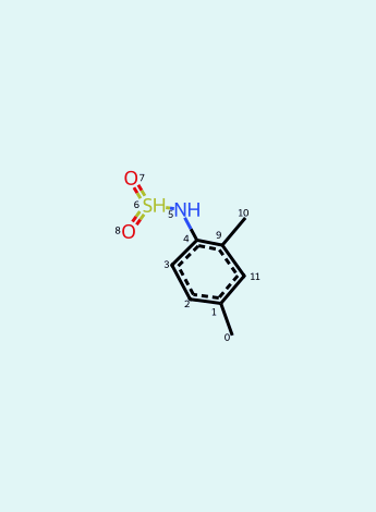 Cc1ccc(N[SH](=O)=O)c(C)c1